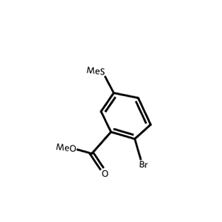 COC(=O)c1cc(SC)ccc1Br